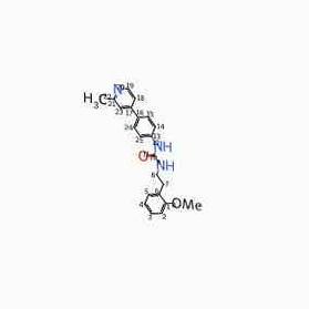 COc1ccccc1CCNC(=O)Nc1ccc(-c2ccnc(C)c2)cc1